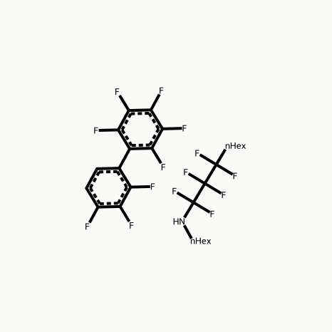 CCCCCCNC(F)(F)C(F)(F)C(F)(F)CCCCCC.Fc1ccc(-c2c(F)c(F)c(F)c(F)c2F)c(F)c1F